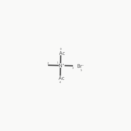 CC(=O)[N+](C)(C)C(C)=O.[Br-]